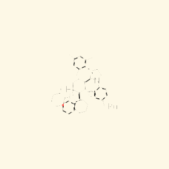 Cc1cc(C)c(N2CCN(c3c(C)cc(C)cc3C)C2=C2CCC(Cl)(P(C3CCCCC3)C3CCCCC3)C(=Cc3ccccc3)C2Cl)c(C)c1.[Ru]